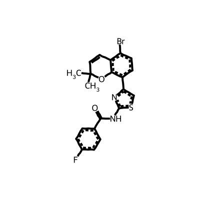 CC1(C)C=Cc2c(Br)ccc(-c3csc(NC(=O)c4ccc(F)cc4)n3)c2O1